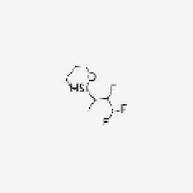 CC(C(F)C(F)F)[SiH]1CCCCO1